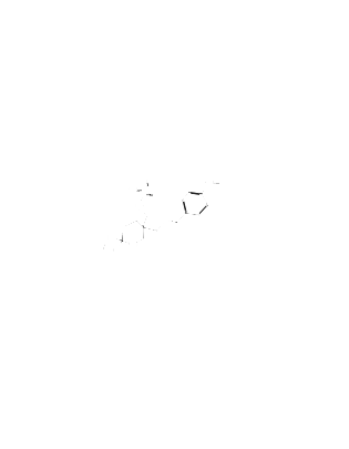 COc1ccc(COCC2(COS(C)(=O)=O)COC(C)(C)OC2)cc1